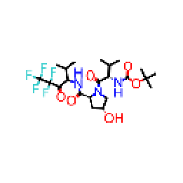 CC(C)C(NC(=O)[C@@H]1C[C@@H](O)CN1C(=O)[C@@H](NC(=O)OC(C)(C)C)C(C)C)C(=O)C(F)(F)C(F)(F)F